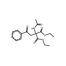 CCOC(=O)C(CC(=O)c1ccccc1)(NC(C)=O)C(=O)OCC